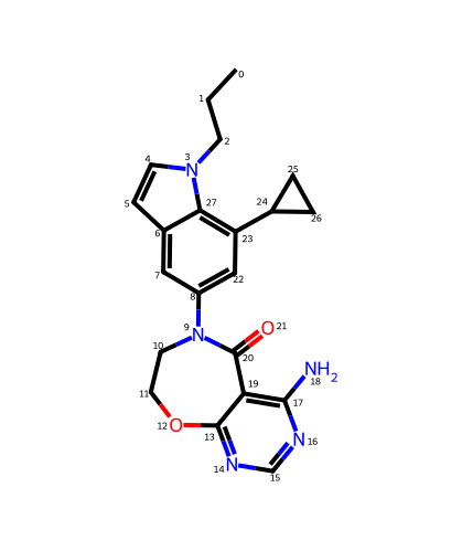 CCCn1ccc2cc(N3CCOc4ncnc(N)c4C3=O)cc(C3CC3)c21